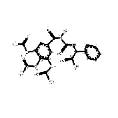 CC(=O)Oc1cc(C(=O)N(C)C(=O)NC(C(=O)O)c2ccccc2)cc(OC(C)=O)c1OC(C)=O